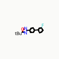 CC(C)(C)c1nc(-c2ccc(-c3cccc(F)c3)cc2)no1